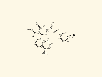 COC(Cc1ccc2c(N)ncnc2c1)N1CCN(C(=O)C=Cc2cccc(C#N)c2)CC1=O